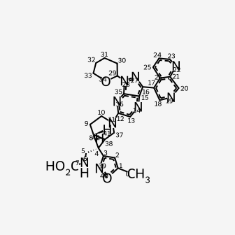 Cc1cc([C@@]2(CNC(=O)O)[C@@H]3CCN(c4cnc5c(-c6cncc7ncccc67)nn(C6CCCCO6)c5n4)C[C@@H]32)no1